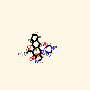 CC(=O)N1CCN(C(c2ccncc2)c2c(O)c3ccccc3c3oc(C)c(C(=O)OCN)c23)CC1